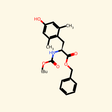 Cc1cc(O)cc(C)c1C[C@H](NC(=O)OC(C)(C)C)C(=O)OCc1ccccc1